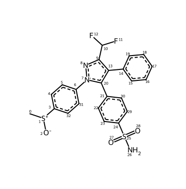 C[S+]([O-])c1ccc(-n2nc(C(F)F)c(-c3ccccc3)c2-c2ccc(S(N)(=O)=O)cc2)cc1